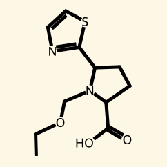 CCOCN1C(C(=O)O)CCC1c1nccs1